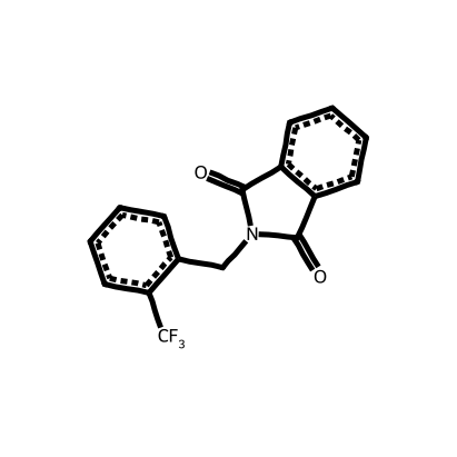 O=C1c2ccccc2C(=O)N1Cc1ccccc1C(F)(F)F